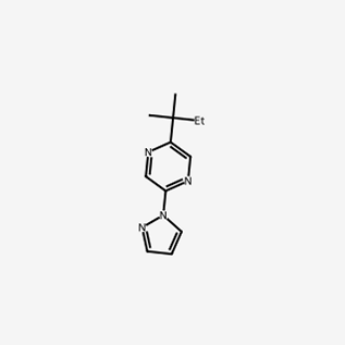 CCC(C)(C)c1cnc(-n2cccn2)cn1